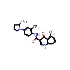 CCCCC1CCCN1c1ccc(NC(=O)c2c[nH]c3cccc(C(F)(F)F)c3c2=O)c(C(F)(F)F)c1